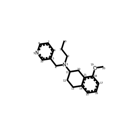 CCCN(Cc1cccnc1)C1CCc2cccc(OC)c2C1